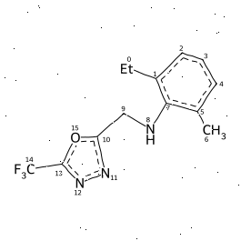 CCc1cccc(C)c1NCc1nnc(C(F)(F)F)o1